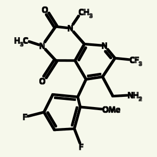 COc1c(F)cc(F)cc1-c1c(CN)c(C(F)(F)F)nc2c1c(=O)n(C)c(=O)n2C